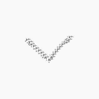 [Al+3].[Al+3].[Al+3].[Ga+3].[Ga+3].[Ga+3].[Ir+4].[Ir+4].[Ir+4].[P-3].[P-3].[P-3].[P-3].[P-3].[P-3].[P-3].[P-3].[P-3].[P-3]